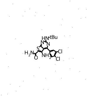 CC(C)(C)Nc1nc(-c2ccc(Cl)c(Cl)c2)c2c(N)c(C(N)=O)sc2n1